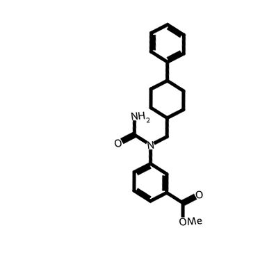 COC(=O)c1cccc(N(CC2CCC(c3ccccc3)CC2)C(N)=O)c1